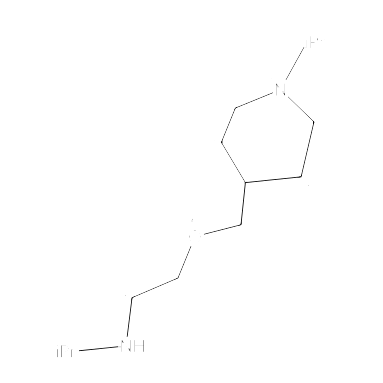 CC(C)NCCOCC1CCN(C(C)C)CC1